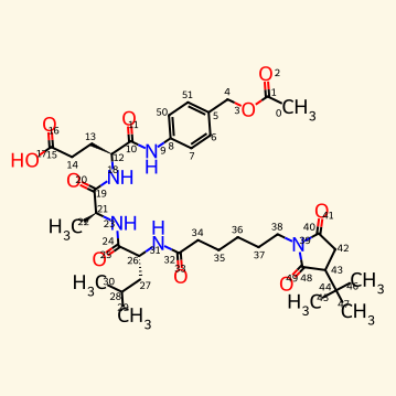 CC(=O)OCc1ccc(NC(=O)[C@H](CCC(=O)O)NC(=O)[C@H](C)NC(=O)[C@@H](CC(C)C)NC(=O)CCCCCN2C(=O)CC(C(C)(C)C)C2=O)cc1